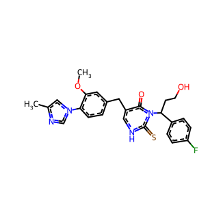 COc1cc(Cc2c[nH]c(=S)n(C(CCO)c3ccc(F)cc3)c2=O)ccc1-n1cnc(C)c1